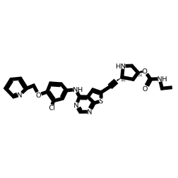 CCNC(=O)O[C@@H]1CN[C@@H](C#Cc2cc3c(Nc4ccc(OCc5ccccn5)c(Cl)c4)ncnc3s2)C1